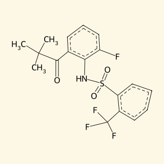 CC(C)(C)C(=O)c1cccc(F)c1NS(=O)(=O)c1ccccc1C(F)(F)F